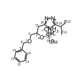 CC(C)(C)[Si](C)(C)OC(COCc1ccccc1)Cc1nnc(C(F)F)[nH]1